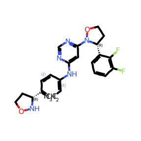 C=C(/C=C\C(=C/C)Nc1cc(N2OCC[C@@H]2c2cccc(F)c2F)ncn1)[C@H]1CCON1